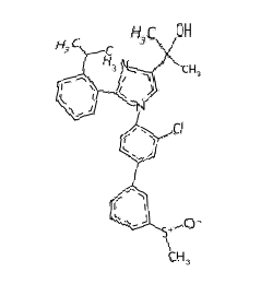 CC(C)c1ccccc1-c1nc(C(C)(C)O)cn1-c1ccc(-c2cccc([S+](C)[O-])c2)cc1Cl